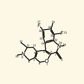 C=C1C2=C(C3=C(CO2)CN(C)C(C)C3)c2cc(F)c(C)c(F)c2N1C